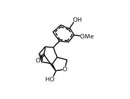 COc1cc(C2C3C=[C]C4C2COC4(O)C3=O)ccc1O